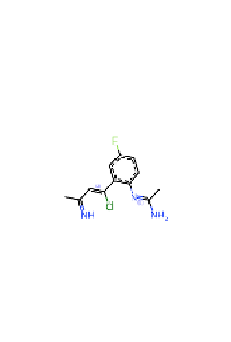 CC(=N)/C=C(\Cl)c1cc(F)ccc1/N=C(\C)N